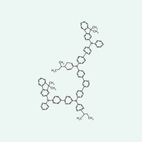 CCC(C)c1ccc(N(c2ccc(-c3ccc(N(c4ccccc4)c4ccc5c(c4)C(C)(C)c4ccccc4-5)cc3)cc2)c2ccc(-c3cccc(-c4ccc(N(C5=CCC(C(C)CC)C=C5)c5ccc(-c6ccc(N(c7ccccc7)c7ccc8c(c7)C(C)(C)c7ccccc7-8)cc6)cc5)cc4)c3)cc2)cc1